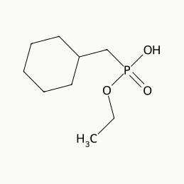 CCOP(=O)(O)CC1CCCCC1